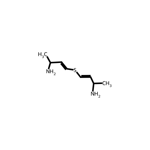 CC(N)/C=C/S/C=C/C(C)N